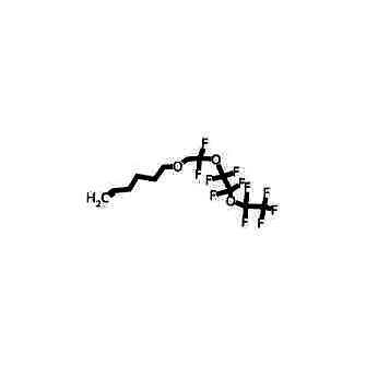 C=CCCCCOCC(F)(F)OC(F)(F)C(F)(F)OC(F)(F)C(F)(F)F